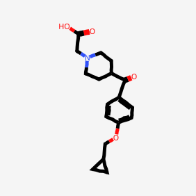 O=C(O)CN1CCC(C(=O)c2ccc(OCC3CC3)cc2)CC1